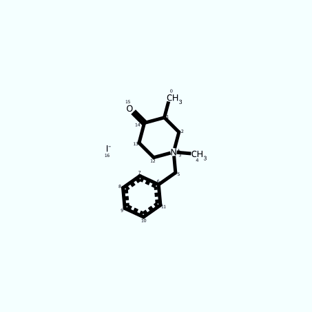 CC1C[N+](C)(Cc2ccccc2)CCC1=O.[I-]